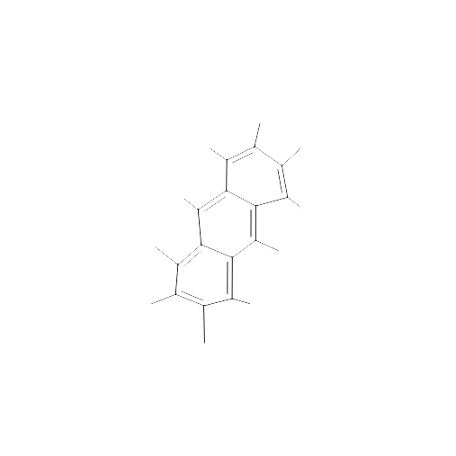 Cc1c(C)c(O)c2c(O)c3c(O)c(O)c(O)c(O)c3c(O)c2c1O